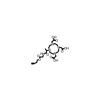 C#CCCOC(=O)CNC(=O)C(C)N1CCN(CC(=O)O)CCN(CC(=O)O)CCN(CC(=O)O)CC1